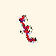 COC(=O)N[C@H](C(=O)N1[C@@H]2CC[C@@H](C2)[C@H]1c1nc2ccc(-c3ccc4c(c3)C(F)(F)c3cc(-c5cnc([C@H]6CC7(CC7)CN6C(=O)[C@@H](NC(=O)OC)C(C)CC6CC67C[C@@H](c6ncc(-c8ccc9c(c8)C(F)(F)c8cc(-c%10ccc%11nc([C@@H]%12[C@H]%13CC[C@H](C%13)N%12C(=O)[C@H](NC(=O)OC)C(C)C)[nH]c%11c%10)ccc8-9)[nH]6)N(C(=O)[C@H](NC(=O)OC)C(C)C)C7)[nH]5)ccc3-4)cc2[nH]1)C(C)C